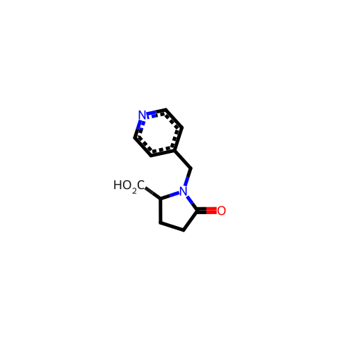 O=C(O)C1CCC(=O)N1Cc1ccncc1